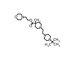 CC1(C(=O)OCCN2CCOCC2)CCN(CCN2CCN(C(C)(C)C)CC2)CC1